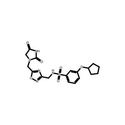 O=C1CN(Cc2nc(CNS(=O)(=O)c3cccc(OC4CCCC4)c3)no2)C(=O)N1